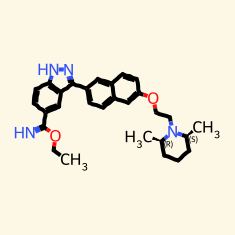 CCOC(=N)c1ccc2[nH]nc(-c3ccc4cc(OCCN5[C@H](C)CCC[C@@H]5C)ccc4c3)c2c1